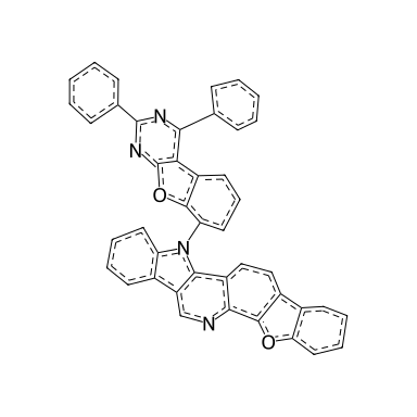 c1ccc(-c2nc(-c3ccccc3)c3c(n2)oc2c(-n4c5ccccc5c5cnc6c(ccc7c8ccccc8oc76)c54)cccc23)cc1